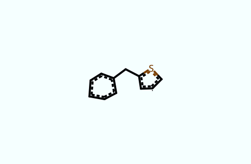 [c]1csc(Cc2ccccc2)c1